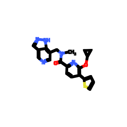 CN(Cc1cncc2cn[nH]c12)C(=O)c1ccc(-c2cccs2)c(OC2CC2)n1